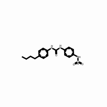 CCCCc1ccc(NC(=O)Nc2ccc(N[SH](=O)=O)cc2)cc1